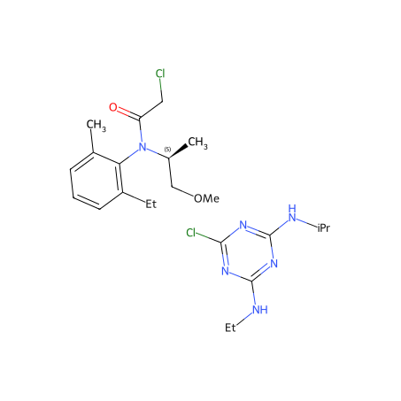 CCNc1nc(Cl)nc(NC(C)C)n1.CCc1cccc(C)c1N(C(=O)CCl)[C@@H](C)COC